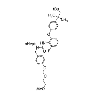 CCCCCCCN(Cc1ccc(OCOCCOC)cc1)C(=O)Nc1c(F)cccc1Oc1ccc(C(C)(C)CC(C)(C)C)cc1